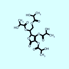 CC(O)C(=O)OCC(OC(=O)C(C)O)C1OC(=O)C(OC(=O)C(C)O)=C1OC(=O)C(C)O